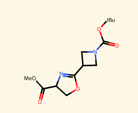 COC(=O)C1COC(C2CN(C(=O)OC(C)(C)C)C2)=N1